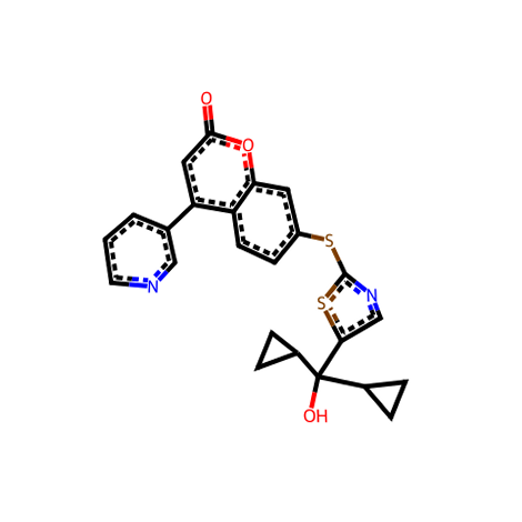 O=c1cc(-c2cccnc2)c2ccc(Sc3ncc(C(O)(C4CC4)C4CC4)s3)cc2o1